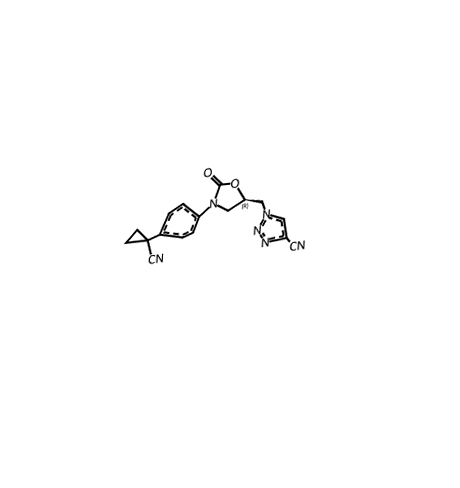 N#Cc1cn(C[C@H]2CN(c3ccc(C4(C#N)CC4)cc3)C(=O)O2)nn1